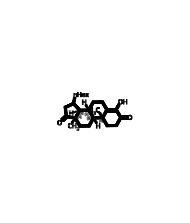 CCCCCCC1CC(=O)[C@@]2(C)CC[C@@H]3[C@@H](CCC4=C(O)C(=O)CC[C@@]43C)[C@H]12